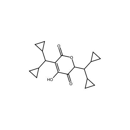 O=C1OC(C(C2CC2)C2CC2)C(=O)C(O)=C1C(C1CC1)C1CC1